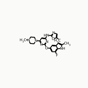 Cc1cc2cc(Oc3nc(Nc4ncc(C)o4)cc(N4CCN(C)CC4)n3)cc(F)c2[nH]1